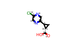 O=C(O)[C@H]1CC1c1cnc(Cl)cn1